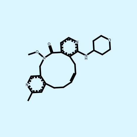 CON1Cc2cnc(C)cc2CC/C=C\Cc2c(ccnc2NC2CCOCC2)C1=O